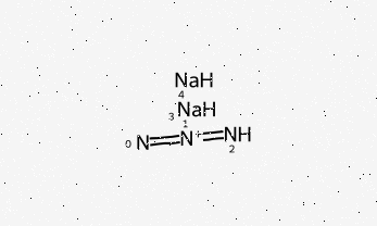 [N-]=[N+]=N.[NaH].[NaH]